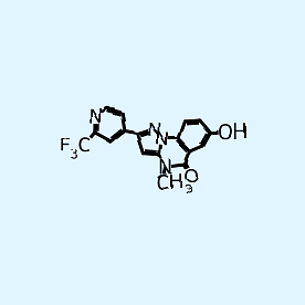 Cn1c(=O)c2cc(O)ccc2n2nc(-c3ccnc(C(F)(F)F)c3)cc12